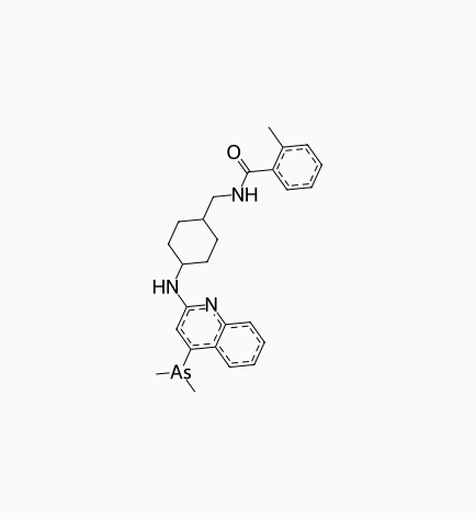 Cc1ccccc1C(=O)NCC1CCC(Nc2cc([As](C)C)c3ccccc3n2)CC1